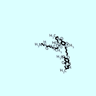 C=C1CC2C(O)N(C(=O)OCC(C)(C)SSCCC(=O)NCCN)c3cc(OCCCCCOc4cc5c(cc4OC)C(=O)N4CC(=C)C[C@H]4C=N5)c(OC)cc3C(=O)N2C1